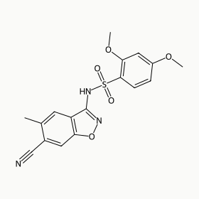 COc1ccc(S(=O)(=O)Nc2noc3cc(C#N)c(C)cc23)c(OC)c1